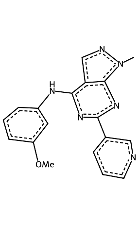 COc1cccc(Nc2nc(-c3cccnc3)nc3c2cnn3C)c1